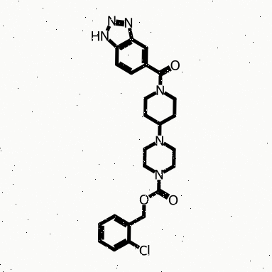 O=C(OCc1ccccc1Cl)N1CCN(C2CCN(C(=O)c3ccc4[nH]nnc4c3)CC2)CC1